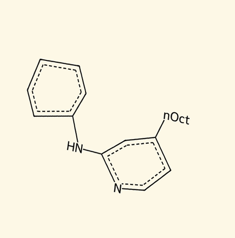 CCCCCCCCc1ccnc(Nc2ccccc2)c1